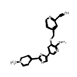 C#Cc1cc(COc2cc(-c3cnc(C4CCN(C)CC4)s3)cnc2N)ccn1